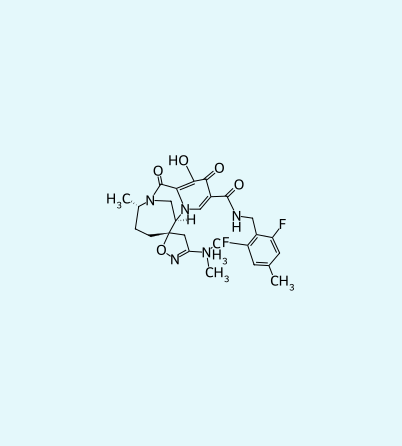 Cc1cc(F)c(CNC(=O)c2cn3c(c(O)c2=O)C(=O)N2C[C@@H]3[C@]3(CC[C@@H]2C)CC(N(C)C)=NO3)c(F)c1